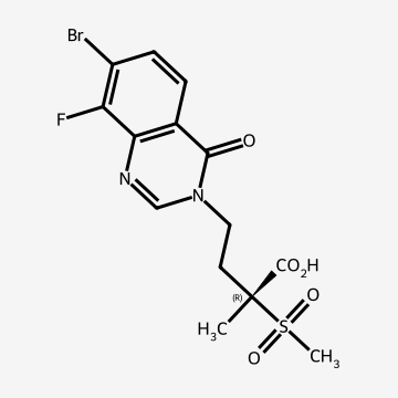 C[C@@](CCn1cnc2c(F)c(Br)ccc2c1=O)(C(=O)O)S(C)(=O)=O